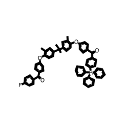 Cc1cc(C(C)(C)c2ccc(Oc3ccc(C(=O)c4ccc([PH](c5ccccc5)(c5ccccc5)c5ccccc5)cc4)cc3)c(C)c2)ccc1Oc1ccc(C(=O)c2ccc(F)cc2)cc1